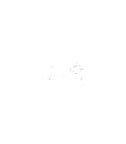 CC(C)OC(=O)OC[C@H]1O[C@@H](n2cc(C=CBr)c(=O)[nH]c2=O)C[C@@H]1O